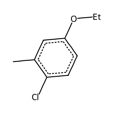 CCOc1ccc(Cl)c(C)c1